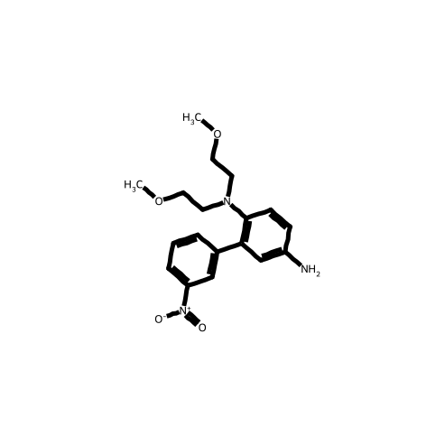 COCCN(CCOC)c1ccc(N)cc1-c1cccc([N+](=O)[O-])c1